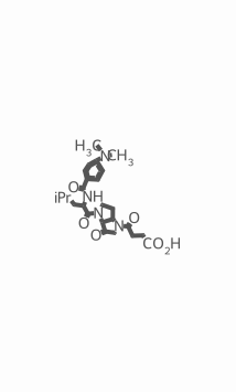 CC(C)CC(NC(=O)c1ccc(N(C)C)cc1)C(=O)N1CCC2C1C(=O)CN2C(=O)CCC(=O)O